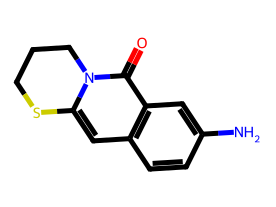 Nc1ccc2cc3n(c(=O)c2c1)CCCS3